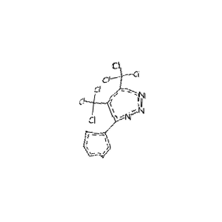 ClC(Cl)(Cl)c1nnnc(-c2ccccc2)c1C(Cl)(Cl)Cl